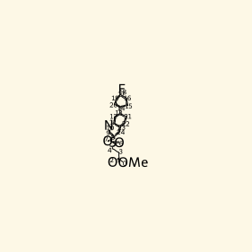 COC(=O)CCS(=O)(=O)c1cnc2cc(-c3ccc(F)cc3)ccc2c1